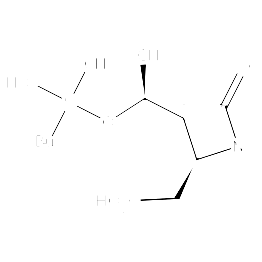 C[C@H](O[Si](C)(C)C(C)(C)C)[C@@H]1C(=O)N[C@H]1CC(=O)O